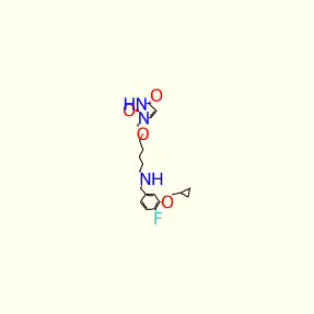 O=c1ccn(COCCCCCNCc2ccc(F)c(OCC3CC3)c2)c(=O)[nH]1